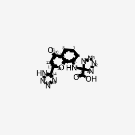 O=C(O)C1(Nc2cccc3c(=O)cc(-c4nnn[nH]4)oc23)N=NN=N1